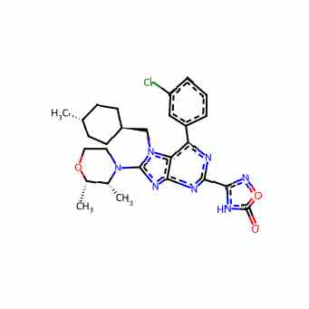 C[C@@H]1OCCN(c2nc3nc(-c4noc(=O)[nH]4)nc(-c4cccc(Cl)c4)c3n2C[C@H]2CC[C@H](C)CC2)[C@@H]1C